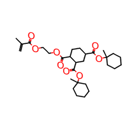 C=C(C)C(=O)OCCOC(=O)C1CCC(C(=O)OC2(C)CCCCC2)CC1C(=O)OC1(C)CCCCC1